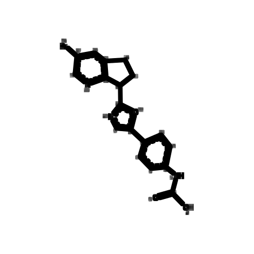 O=C(O)Nc1ccc(-c2cnc(C3CCc4cc(Br)cnc43)o2)cc1